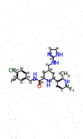 Cc1nc(F)ccc1C1CC(CNC2=NCCN2)CC(C(=O)NCc2ccc(Cl)c(F)c2)N1